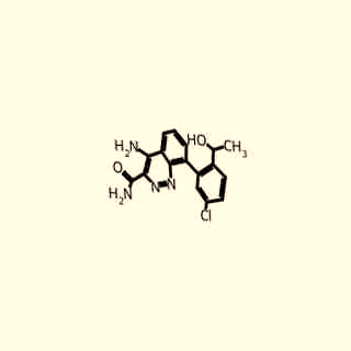 CC(O)c1ccc(Cl)cc1-c1cccc2c(N)c(C(N)=O)nnc12